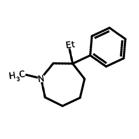 CCC1(c2ccccc2)CCCCN(C)C1